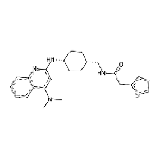 CN(C)c1cc(N[C@H]2CC[C@@H](CNC(=O)Cc3cccs3)CC2)nc2ccccc12